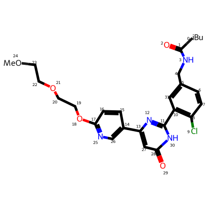 CCC(C)C(=O)NCc1ccc(Cl)c(-c2nc(-c3ccc(OCCOCCOC)nc3)cc(=O)[nH]2)c1